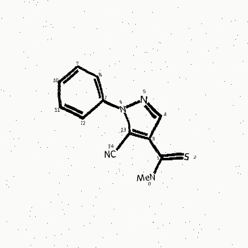 CNC(=S)c1cnn(-c2ccccc2)c1C#N